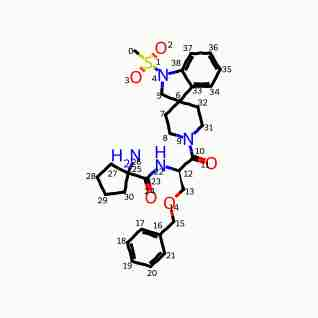 CS(=O)(=O)N1CC2(CCN(C(=O)[C@@H](COCc3ccccc3)NC(=O)C3(N)CCCC3)CC2)c2ccccc21